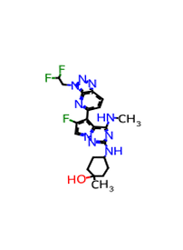 CNc1nc(NC2CCC(C)(O)CC2)nn2cc(F)c(-c3ccc4nnn(CC(F)F)c4n3)c12